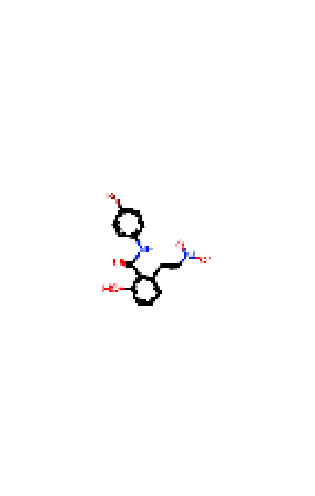 O=C(Nc1ccc(Br)cc1)c1c(O)cccc1C=C[N+](=O)[O-]